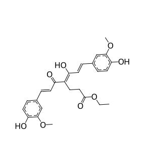 CCOC(=O)CC/C(C(=O)/C=C/c1ccc(O)c(OC)c1)=C(O)\C=C\c1ccc(O)c(OC)c1